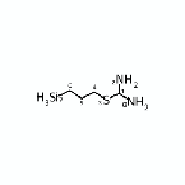 NC(N)SCCC[SiH3]